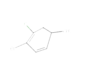 CCC1=C(F)CC(C)C=C1